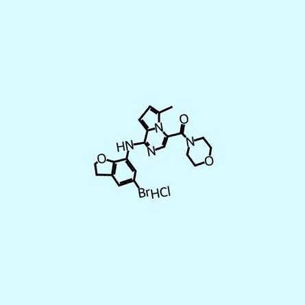 Cc1ccc2c(Nc3cc(Br)cc4c3OCC4)ncc(C(=O)N3CCOCC3)n12.Cl